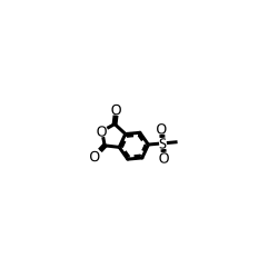 CS(=O)(=O)c1ccc2c(c1)C(=O)OC2=O